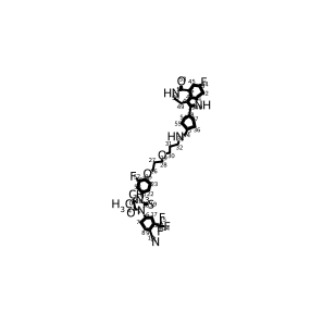 CC1(C)C(=O)N(c2ccc(C#N)c(C(F)(F)F)c2)C(=S)N1c1ccc(OCCCOCCCNCc2ccc(-c3[nH]c4cc(F)cc5c4c3CCNC5=O)cc2)c(F)c1